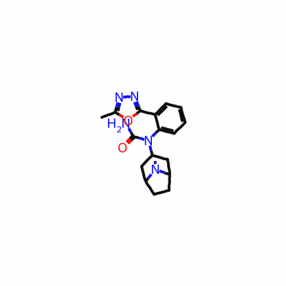 Cc1nnc(-c2ccccc2N(C(N)=O)C2CC3CCC(C2)N3C)o1